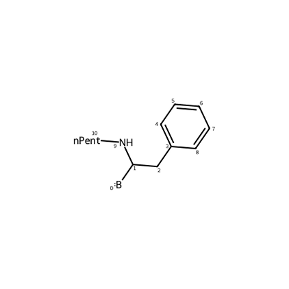 [B]C(Cc1ccccc1)NCCCCC